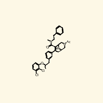 CC(=O)N1CC2CC(c3cccc(CC(C)Oc4cccc(Cl)c4Cl)c3)=C(C(=O)N(C)CCc3ccccc3)C(C1)N2